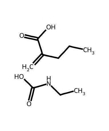 C=C(CCC)C(=O)O.CCNC(=O)O